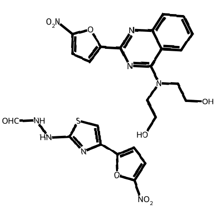 O=CNNc1nc(-c2ccc([N+](=O)[O-])o2)cs1.O=[N+]([O-])c1ccc(-c2nc(N(CCO)CCO)c3ccccc3n2)o1